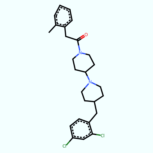 Cc1ccccc1CC(=O)N1CCC(N2CCC(Cc3ccc(Cl)cc3Cl)CC2)CC1